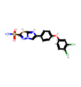 NS(=O)(=O)c1nn2cc(-c3ccc(Oc4ccc(Cl)c(Cl)c4)cc3)nc2s1